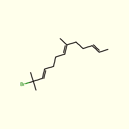 CC=CCCC(C)=CCCC=CC(C)(C)Br